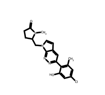 Cc1cc(Cl)cc(O)c1-c1cc2ccn(CC3CCC(=O)N3C)c2nn1